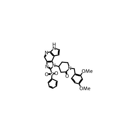 COc1ccc(CN2CCC(n3c(S(=O)(=O)c4ccccc4)nc4cnc5[nH]ccc5c43)CC2=O)c(OC)c1